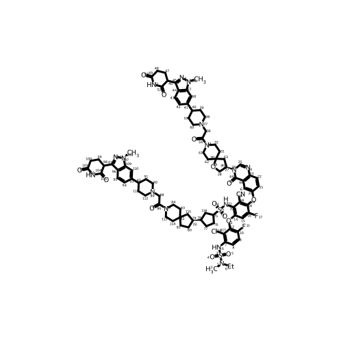 CCN(C)S(=O)(=O)Nc1ccc(F)c(Oc2cc(F)c(Oc3ccc4ncn([C@H]5COC6(CCN(C(=O)CN7CCC(c8ccc9c(C%10CCC(=O)NC%10=O)nn(C)c9c8)CC7)CC6)C5)c(=O)c4c3)c(C#N)c2NS(=O)(=O)C2CCC([C@H]3CCC4(CCN(C(=O)CN5CCC(c6ccc7c(C8CCC(=O)NC8=O)nn(C)c7c6)CC5)CC4)C3)C2)c1Cl